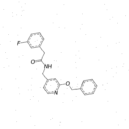 O=C(Cc1cccc(F)c1)NCc1ccnc(OCc2ccccc2)c1